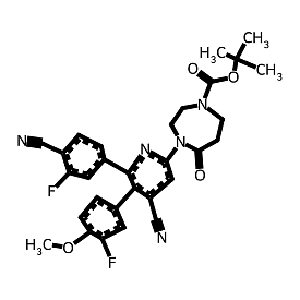 COc1ccc(-c2c(C#N)cc(N3CCN(C(=O)OC(C)(C)C)CCC3=O)nc2-c2ccc(C#N)c(F)c2)cc1F